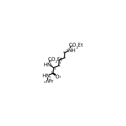 CCCNC(=O)C(CCCCNC(=O)OCC)NC(=O)OCC